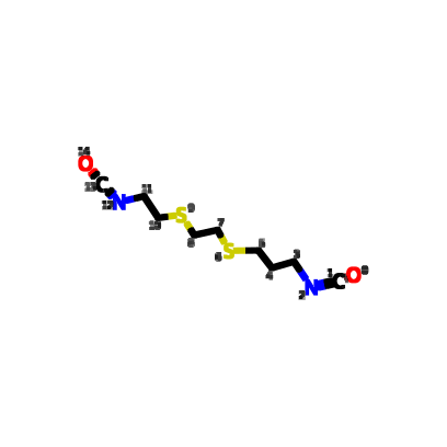 O=C=NCCCSCCSCCN=C=O